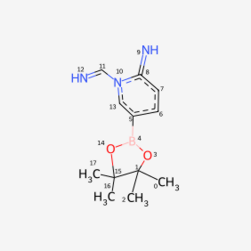 CC1(C)OB(c2ccc(=N)n(C=N)c2)OC1(C)C